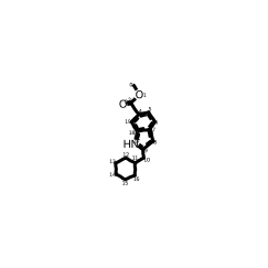 COC(=O)c1ccc2cc(CC3CCCCC3)[nH]c2c1